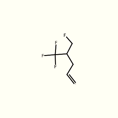 [CH]=CCC(CF)C(F)(F)F